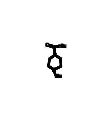 CCCCC(=O)N1CCN(C(C)(C)C)CC1